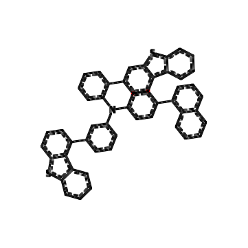 c1cc(-c2cccc3sc4ccccc4c23)cc(N(c2ccc(-c3cccc4ccccc34)cc2)c2ccccc2-c2ccc3c(c2)sc2ccccc23)c1